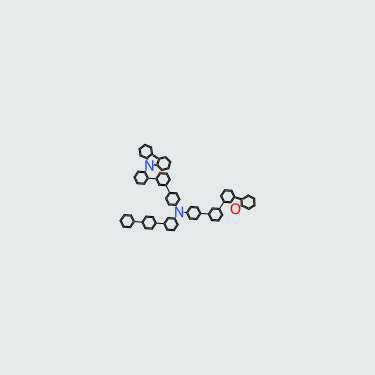 c1ccc(-c2ccc(-c3cccc(N(c4ccc(-c5cccc(-c6ccccc6-n6c7ccccc7c7ccccc76)c5)cc4)c4ccc(-c5cccc(-c6cccc7c6oc6ccccc67)c5)cc4)c3)cc2)cc1